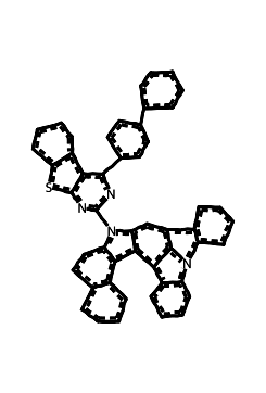 c1ccc(-c2ccc(-c3nc(-n4c5ccc6ccccc6c5c5c6c7ccccc7n7c8ccccc8c(cc54)c67)nc4sc5ccccc5c34)cc2)cc1